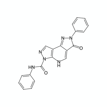 O=C(Nc1ccccc1)n1ncc2c3nn(-c4ccccc4)c(=O)c-3c[nH]c21